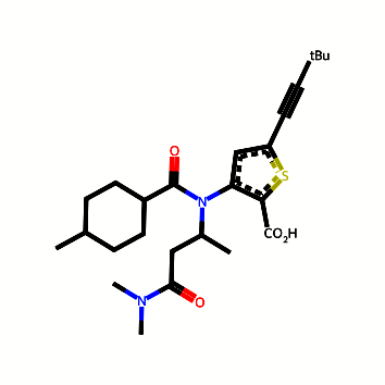 CC1CCC(C(=O)N(c2cc(C#CC(C)(C)C)sc2C(=O)O)C(C)CC(=O)N(C)C)CC1